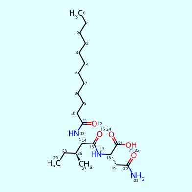 CCCCCCCCCCCC(=O)N[C@H](C(=O)N[C@@H](CC(N)=O)C(=O)O)[C@@H](C)CC